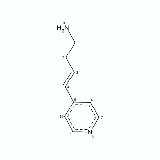 NCC/C=C/c1ccncc1